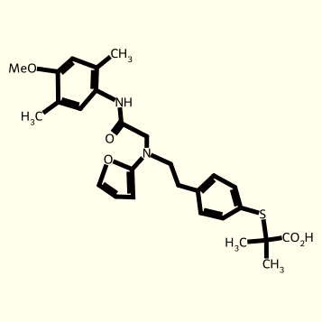 COc1cc(C)c(NC(=O)CN(CCc2ccc(SC(C)(C)C(=O)O)cc2)c2ccco2)cc1C